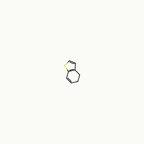 [CH]1C=Cc2sccc2C1